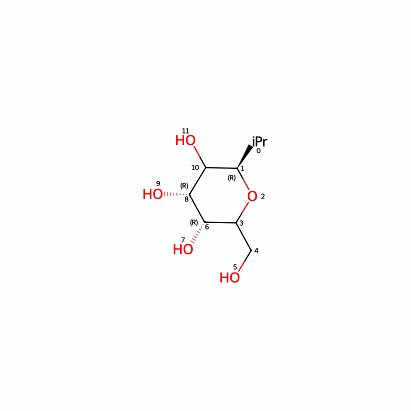 CC(C)[C@H]1OC(CO)[C@H](O)[C@H](O)C1O